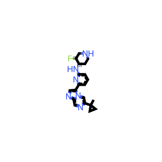 CC1(c2cn3c(-c4cccc(N[C@H]5CCNC[C@@H]5F)n4)cnc3cn2)CC1